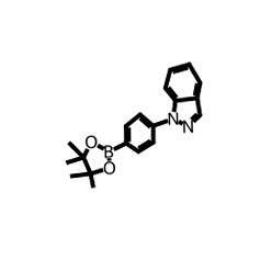 CC1(C)OB(c2ccc(-n3ncc4ccccc43)cc2)OC1(C)C